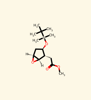 COC(=O)C[C@@H]1[C@H]2O[C@H]2C[C@H]1O[Si](C)(C)C(C)(C)C